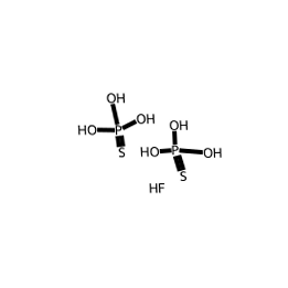 F.OP(O)(O)=S.OP(O)(O)=S